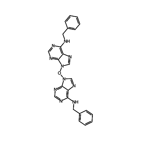 c1ccc(CNc2ncnc3c2ncn3On2cnc3c(NCc4ccccc4)ncnc32)cc1